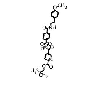 COc1ccc(CCNC(=O)c2ccc(S(=O)(=O)NC(=O)c3ccc(C(=O)OCC(C)C)nc3)cc2)cc1